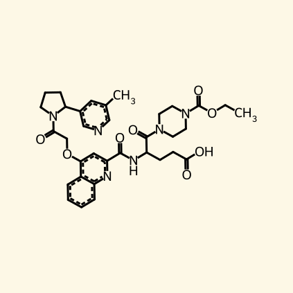 CCOC(=O)N1CCN(C(=O)C(CCC(=O)O)NC(=O)c2cc(OCC(=O)N3CCCC3c3cncc(C)c3)c3ccccc3n2)CC1